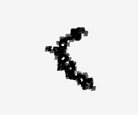 Cc1cc(Nc2ccnc(Nc3ccc(S(=O)(=O)N(C)C4CCN(CCS(C)(=O)=O)CC4)cc3)n2)ccc1F